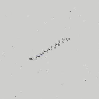 O=C(O)/C=C/C=C/CCCCCCCCCCC(=O)O